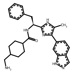 Cc1[nH]c([C@H](Cc2ccccc2)NC(=O)C2CCC(CN)CC2)nc1-c1ccc2cn[nH]c2c1